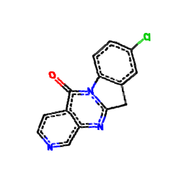 O=c1c2ccncc2nc2n1-c1ccc(Cl)cc1C2